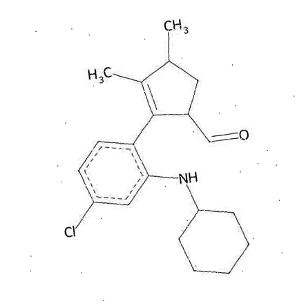 CC1=C(c2ccc(Cl)cc2NC2CCCCC2)C(C=O)CC1C